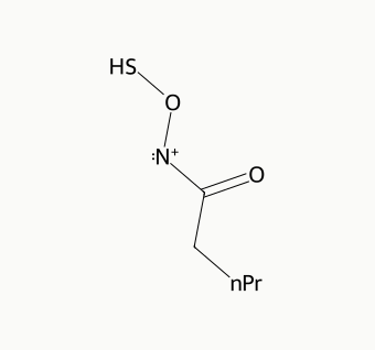 CCCCC(=O)[N+]OS